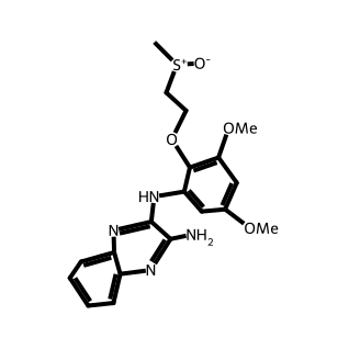 COc1cc(Nc2nc3ccccc3nc2N)c(OCC[S+](C)[O-])c(OC)c1